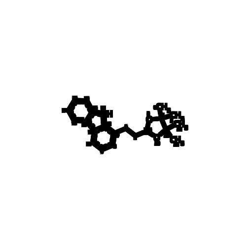 CC1(C)OB(CCc2cccc3c2[nH]c2ccccc23)OC1(C)C